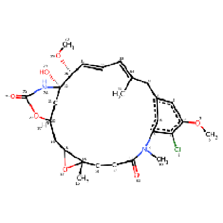 COc1cc2cc(c1Cl)N(C)C(=O)CC[C@]1(C)OC1C[C@@H]1C[C@@](O)(NC(=O)O1)[C@H](OC)/C=C/C=C(\C)C2